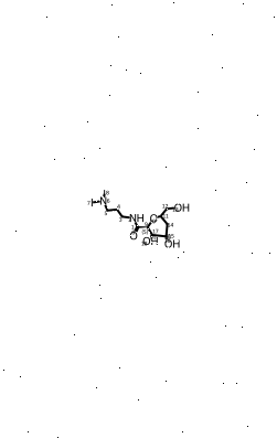 O=C(NCCCN(I)I)[C@H]1OC(CO)C[C@@H](O)[C@H]1O